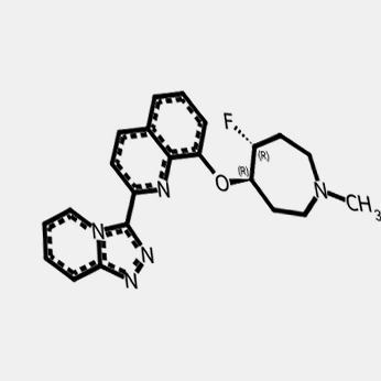 CN1CC[C@@H](F)[C@H](Oc2cccc3ccc(-c4nnc5ccccn45)nc23)CC1